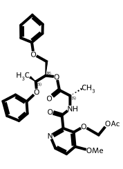 COc1ccnc(C(=O)N[C@@H](C)C(=O)O[C@H](COc2ccccc2)[C@H](C)Oc2ccccc2)c1OCOC(C)=O